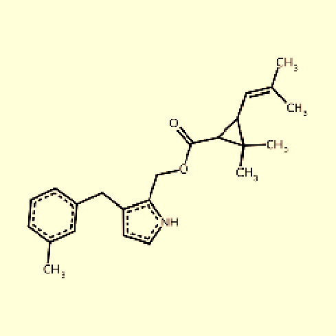 CC(C)=CC1C(C(=O)OCc2[nH]ccc2Cc2cccc(C)c2)C1(C)C